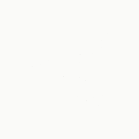 CCCC1C2CCC3CC4(CCC3=C2C(c2ccc(-c3ccc(C)cc3)cc2)CC1(C)CC)CCC(C)(C)CC4